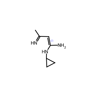 CC(=N)/C=C(/N)NC1CC1